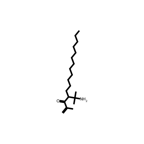 C=C(C)C(=O)C(CCCCCCCCCCCC)C(C)(C)N